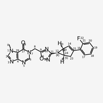 Cn1cnc2ncn(Cc3nc([C@H]4[C@@H]5C=C(c6ccccc6F)C[C@@H]54)no3)c(=O)c21